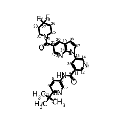 CC(C)(C)c1ccc(NC(=O)c2cncc(-n3ccc4cc(C(=O)N5CCC(F)(F)CC5)cnc43)c2)cn1